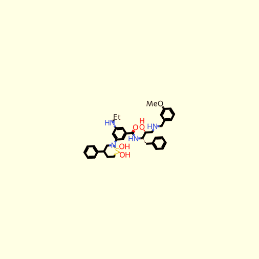 CCNc1cc(C(=O)N[C@@H](Cc2ccccc2)[C@H](O)CNCc2cccc(OC)c2)cc(N2CC(c3ccccc3)CCS2(O)O)c1